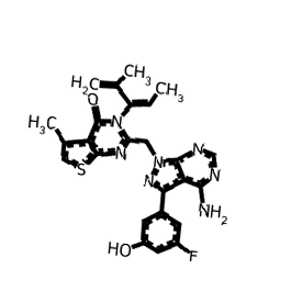 C=C(C)/C(=C\C)n1c(Cn2nc(-c3cc(O)cc(F)c3)c3c(N)ncnc32)nc2scc(C)c2c1=O